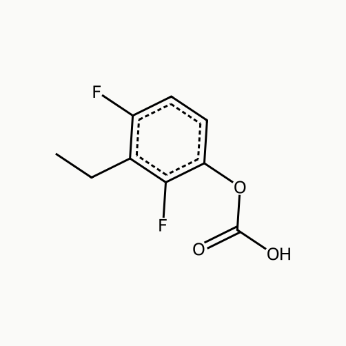 CCc1c(F)ccc(OC(=O)O)c1F